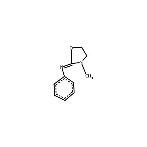 CN1CCOC1=Nc1ccccc1